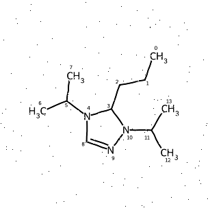 CCCC1N(C(C)C)C=NN1C(C)C